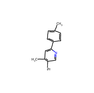 Cc1ccc(-c2cc(C)c(C(C)C)cn2)cc1